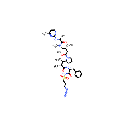 CC[C@H](C)[C@@H]([C@@H](CC(=O)N1CCC[C@H]1[C@H](OC)[C@@H](C)C(=O)N[C@@H](Cc1ccccc1)C(=O)NS(=O)(=O)CCCN=[N+]=[N-])OC)N(C)C(=O)[C@@H](Nc1nccc(C)n1)C(C)C